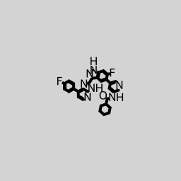 O=C(Nc1cncc(-c2cc3c(-c4nc5c(-c6ccc(F)cc6)ccnc5[nH]4)n[nH]c3cc2F)c1)C1CCCCC1